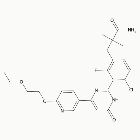 CCOCCOc1ccc(-c2cc(=O)[nH]c(-c3c(Cl)ccc(CC(C)(C)C(N)=O)c3F)n2)cn1